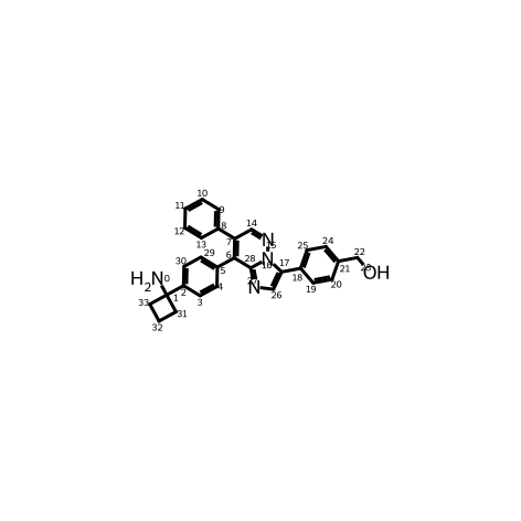 NC1(c2ccc(-c3c(-c4ccccc4)cnn4c(-c5ccc(CO)cc5)cnc34)cc2)CCC1